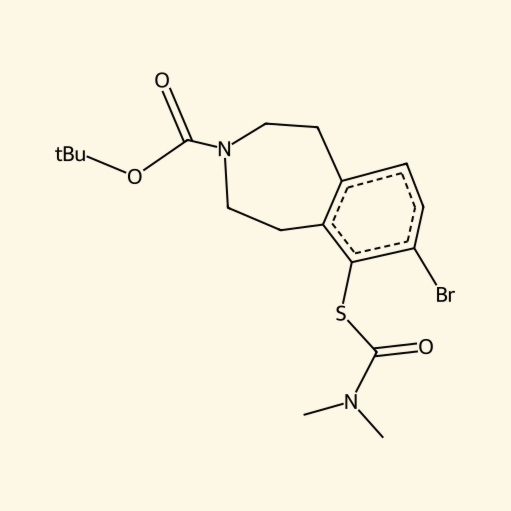 CN(C)C(=O)Sc1c(Br)ccc2c1CCN(C(=O)OC(C)(C)C)CC2